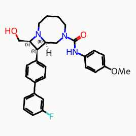 COc1ccc(NC(=O)N2CCCCN3[C@H](CO)[C@H](c4ccc(-c5cccc(F)c5)cc4)[C@@H]3C2)cc1